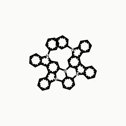 c1ccc(-n2c3ccccc3c3c4c5ccccc5n5c4c(cc32)B2c3c-5cccc3-n3c4ccccc4c4c5c6ccccc6n(-c6ccccc6)c5cc2c43)cc1